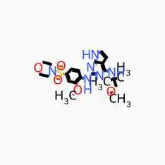 COCC(C)(C)Nc1nc(Nc2ccc(S(=O)(=O)N3CCOCC3)cc2OC)nc2[nH]ccc12